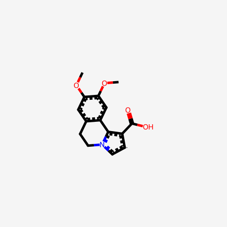 COc1cc2c(cc1OC)-c1c(C(=O)O)[c]cn1CC2